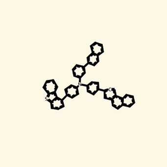 c1cc(-c2ccc3ccccc3c2)cc(N(c2ccc(-c3ccc4c(ccc5ccccc54)c3)cc2)c2ccc(-c3cccc4sc5ccccc5c34)cc2)c1